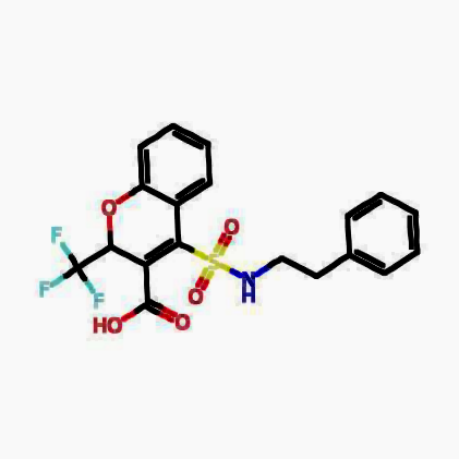 O=C(O)C1=C(S(=O)(=O)NCCc2ccccc2)c2ccccc2OC1C(F)(F)F